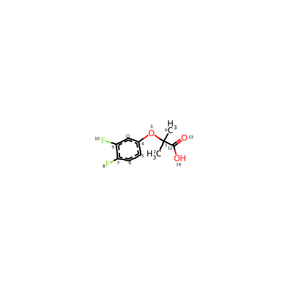 CC(C)(Oc1ccc(F)c(F)c1)C(=O)O